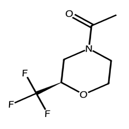 CC(=O)N1CCO[C@@H](C(F)(F)F)C1